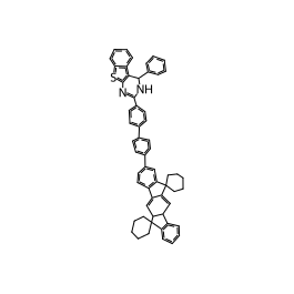 C1=C2C(=CC3c4ccccc4C4(CCCCC4)C13)C1(CCCCC1)c1cc(-c3ccc(-c4ccc(C5=Nc6sc7ccccc7c6C(c6ccccc6)N5)cc4)cc3)ccc12